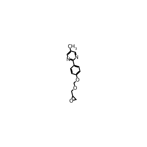 Cc1cnc(-c2ccc(OCOCC3CO3)cc2)nc1